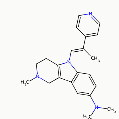 CC(=Cn1c2c(c3cc(N(C)C)ccc31)CN(C)CC2)c1ccncc1